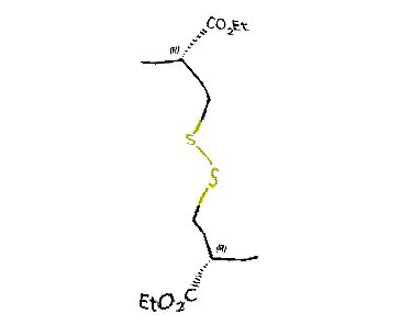 CCOC(=O)[C@@H](C)CSSC[C@H](C)C(=O)OCC